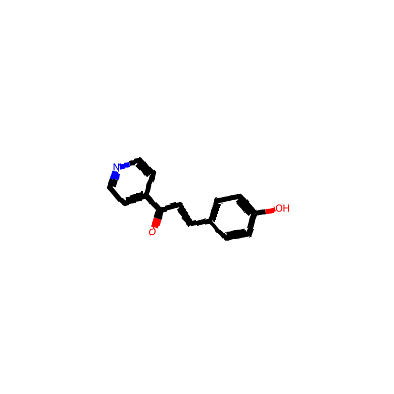 O=C(C=Cc1ccc(O)cc1)c1ccncc1